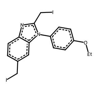 CCOc1ccc(-n2c(CI)nc3ccc(CI)cc32)cc1